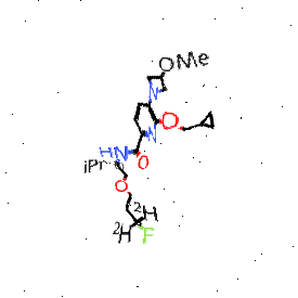 [2H]C([2H])(F)CCOC[C@@H](NC(=O)c1ccc(N2CC(OC)C2)c(OCC2CC2)n1)C(C)C